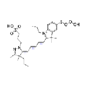 CCC[N+]1=C(/C=C/C=C/C=C2\N(CCCS(=O)(=O)O)N=C(C)C2(C)CCC)C(C)(C)c2cc(SOOO)ccc21